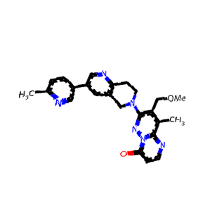 COCc1c(N2CCc3ncc(-c4ccc(C)nc4)cc3C2)nn2c(=O)ccnc2c1C